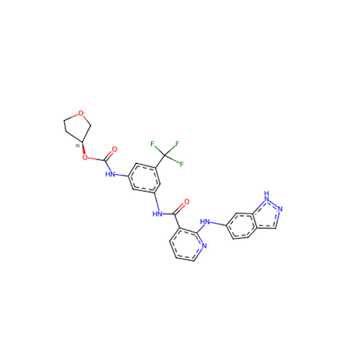 O=C(Nc1cc(NC(=O)c2cccnc2Nc2ccc3cn[nH]c3c2)cc(C(F)(F)F)c1)O[C@H]1CCOC1